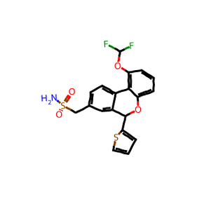 NS(=O)(=O)Cc1ccc2c(c1)C(c1cccs1)Oc1cccc(OC(F)F)c1-2